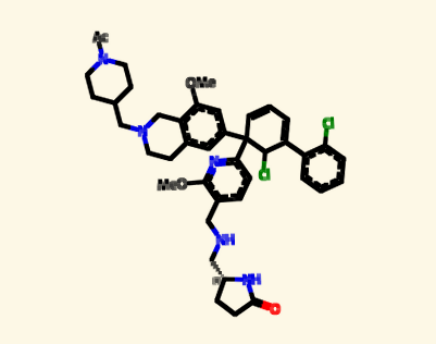 COc1cc(C2(c3ccc(CNC[C@H]4CCC(=O)N4)c(OC)n3)C=CC=C(c3ccccc3Cl)C2Cl)cc2c1CN(CC1CCN(C(C)=O)CC1)CC2